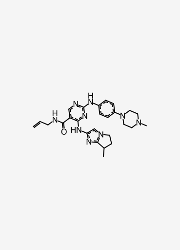 C=CCNC(=O)c1cnc(Nc2ccc(N3CCN(C)CC3)cc2)nc1Nc1cn2c(n1)C(C)CC2